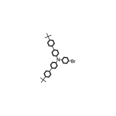 CC(C)(C)c1ccc(-c2ccc(N(c3ccc(Br)cc3)c3ccc(-c4ccc(C(C)(C)C)cc4)cc3)cc2)cc1